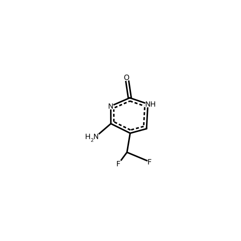 Nc1nc(=O)[nH]cc1C(F)F